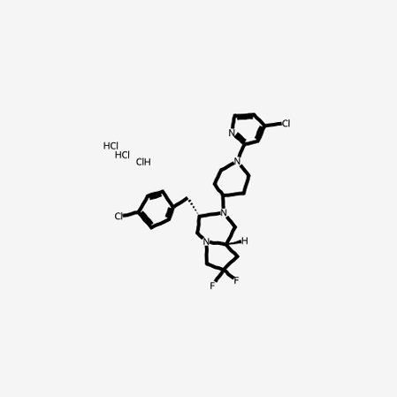 Cl.Cl.Cl.FC1(F)C[C@H]2CN(C3CCN(c4cc(Cl)ccn4)CC3)[C@@H](Cc3ccc(Cl)cc3)CN2C1